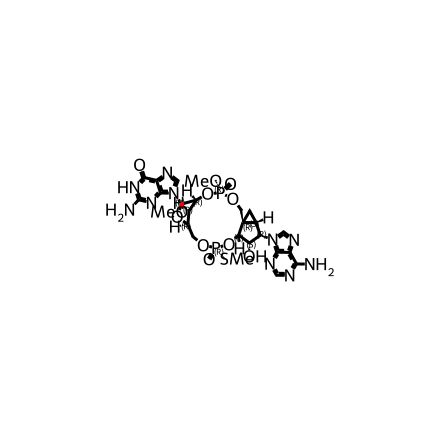 CO[C@H]1[C@H]2O[P@](=O)(OC)OC[C@@]34C[C@@H]3[C@@H](n3cnc5c(N)ncnc53)[C@H](O)[C@@H]4O[P@](=O)(SC)OC[C@H]1O[C@H]2n1cnc2c(=O)[nH]c(N)nc21